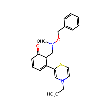 O=CN(CC1C(=O)C=CC=C1C1=CN(CC(=O)O)C=CS1)OCc1ccccc1